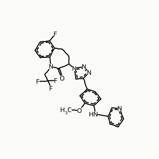 COc1cc(-c2cn(C3CCc4c(F)cccc4N(CC(F)(F)F)C3=O)nn2)ccc1Nc1cccnc1